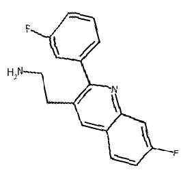 NCCc1cc2ccc(F)cc2nc1-c1cccc(F)c1